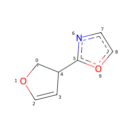 [CH]1OC=CC1c1ncco1